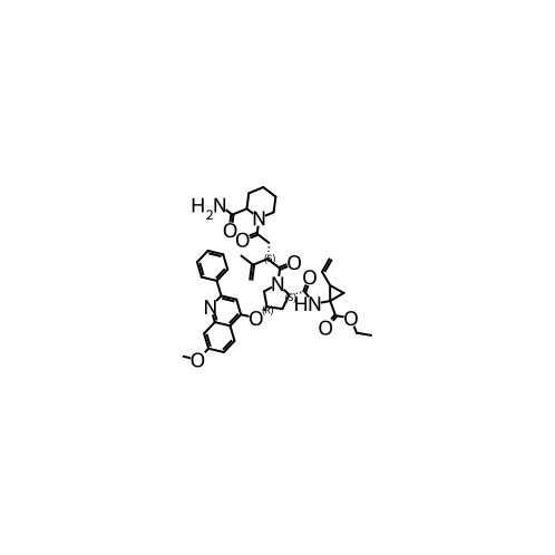 C=CC1CC1(NC(=O)[C@@H]1C[C@@H](Oc2cc(-c3ccccc3)nc3cc(OC)ccc23)CN1C(=O)[C@@H](CC(=O)N1CCCCC1C(N)=O)C(=C)C)C(=O)OCC